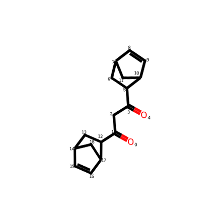 O=C(CC(=O)C1CC2C=CC1C2)C1CC2C=CC1C2